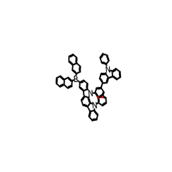 c1ccc(-n2c3ccccc3c3cc(-c4cccc(-n5c6ccc(B(c7ccc8ccccc8c7)c7ccc8ccccc8c7)cc6c6ccc7c8ccccc8n(-c8ccccc8)c7c65)c4)ccc32)cc1